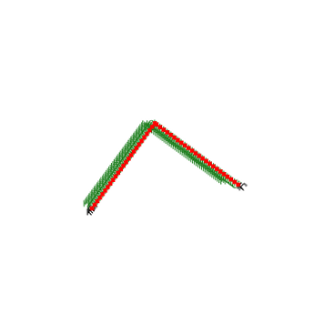 Cl.Cl.Cl.Cl.Cl.Cl.Cl.Cl.Cl.Cl.Cl.Cl.Cl.Cl.Cl.Cl.Cl.Cl.Cl.Cl.Cl.Cl.Cl.Cl.Cl.Cl.Cl.Cl.Cl.Cl.Cl.Cl.Cl.Cl.Cl.Cl.Cl.Cl.Cl.Cl.Cl.Cl.Cl.Cl.Cl.Cl.Cl.Cl.Cl.Cl.Cl.Cl.Cl.Cl.Cl.Cl.Cl.Cl.Cl.Cl.Cl.Cl.Cl.Cl.Cl.Cl.Cl.Cl.Cl.Cl.Cl.Cl.Cl.Cl.Cl.Cl.Cl.Cl.Cl.Cl.Cl.Cl.Cl.Cl.Cl.Cl.Cl.Cl.Cl.Cl.[Cl-].[Cl-].[Cl-].[Cl-].[Cl-].[K+].[K+].[K+].[K+].[K+]